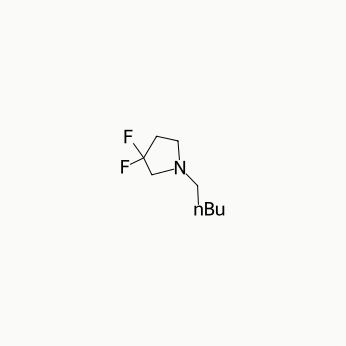 CCCCCN1CCC(F)(F)C1